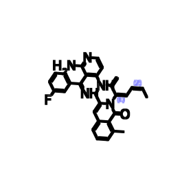 C=C(C)/C(=C\C=C/C)n1c(CNc2ccnc(N)c2C(=N)c2cccc(F)c2)cc2cccc(C)c2c1=O